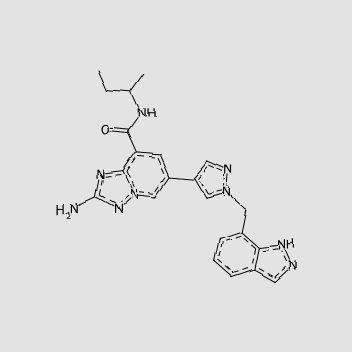 CCC(C)NC(=O)c1cc(-c2cnn(Cc3cccc4cn[nH]c34)c2)cn2nc(N)nc12